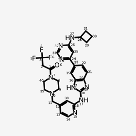 O=C(CC(F)(F)F)N1CCN(Cc2ccnc(Nc3nc4ccc(-c5cc(NC6CCC6)ncn5)cc4[nH]3)c2)CC1